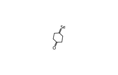 O=C1CCC(=[Se])CC1